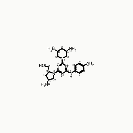 Nc1ccc(Nc2nc(N3C[C@H](N)C[C@H](N)C3)nc(N3C[C@@H](N)C[C@H]3CO)n2)cc1